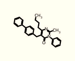 CCCCc1nc(C)n(-c2ccccc2)c(=O)c1Cc1ccc(-c2ccccc2)cc1